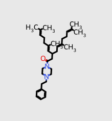 CC(C)=CCC/C(C)=C/CC(/C=C(\C)CCC=C(C)C)CC(=O)N1CCN(CCc2ccccc2)CC1